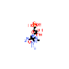 Cc1nc(N)c2c(C(N)=O)cn([C@@H]3O[C@H](CCP(=O)(O)O)[C@@H](O)[C@H]3O)c2n1